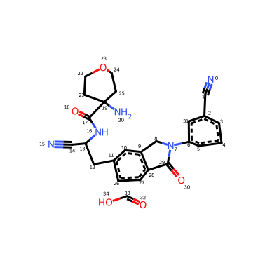 N#Cc1cccc(N2Cc3cc(CC(C#N)NC(=O)C4(N)CCOCC4)ccc3C2=O)c1.O=CO